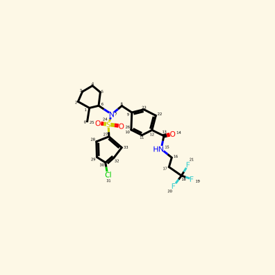 CC1CCCCC1N(Cc1ccc(C(=O)NCCC(F)(F)F)cc1)S(=O)(=O)c1ccc(Cl)cc1